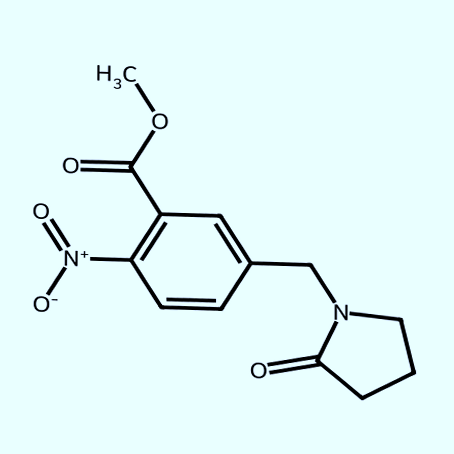 COC(=O)c1cc(CN2CCCC2=O)ccc1[N+](=O)[O-]